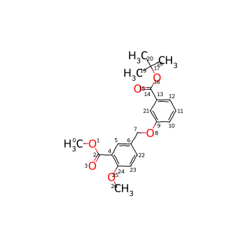 COC(=O)c1cc(COc2cccc(C(=O)OC(C)(C)C)c2)ccc1OC